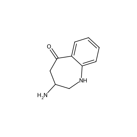 NC1CNc2ccccc2C(=O)C1